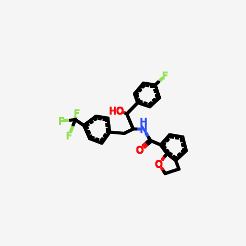 O=C(NC(Cc1ccc(C(F)(F)F)cc1)C(O)c1ccc(F)cc1)c1cccc2c1OCC2